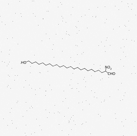 O=[C]C(CCCCCCCCCCCCCCCCCCCCCCO)[N+](=O)[O-]